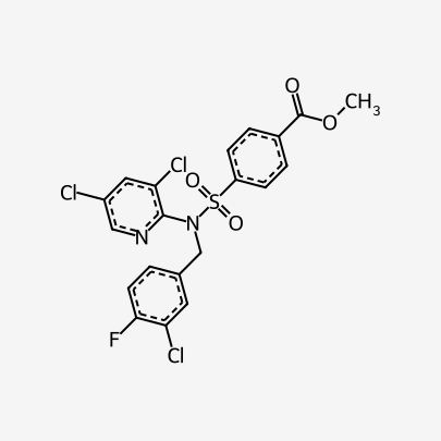 COC(=O)c1ccc(S(=O)(=O)N(Cc2ccc(F)c(Cl)c2)c2ncc(Cl)cc2Cl)cc1